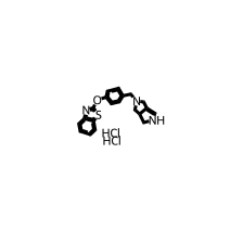 C1=C2CN(Cc3ccc(Oc4nc5ccccc5s4)cc3)CC2CN1.Cl.Cl